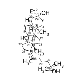 CC[C@]1(O)CC[C@@]2(C)[C@@H](CC[C@@H]3[C@@H]2CC[C@]2(C)[C@@H]([C@H](C)CCCC(C)(C)O)CC[C@@H]32)C1